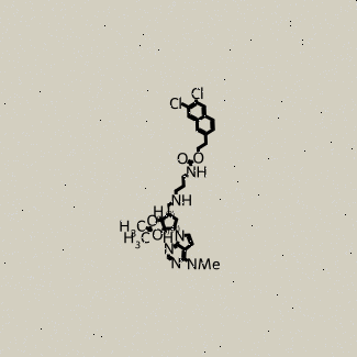 CNc1ncnc2c1ccn2[C@@H]1C[C@H](CNCCCNC(=O)OCCc2ccc3cc(Cl)c(Cl)cc3c2)[C@H]2OC(C)(C)O[C@H]21